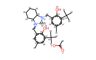 CC(=O)[O-].Cc1cc(C=[N+]2[Mn][N+](=Cc3cc(C)cc(C(C)(C)C)c3O)C3CCCCC32)c(O)c(C(C)(C)C)c1